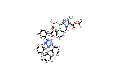 CCCCc1nc(Cl)c(C(=O)OC(C)C)n1Cc1ccc2oc(-c3ccccc3-c3nnn(C(c4ccccc4)(c4ccccc4)c4ccccc4)n3)c(Br)c2c1